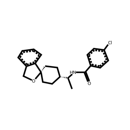 CC(NC(=O)c1ccc(Cl)cc1)[C@H]1CC[C@]2(CC1)OCc1ccccc12